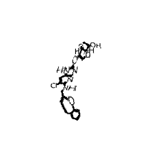 O[C@@H]1CO[C@H]2[C@@H]1OC[C@H]2Oc1nc2nc(NCC3CCc4ccccc4O3)c(Cl)cc2[nH]1